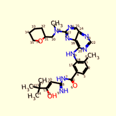 Cc1ccc(C(=O)NC(=N)/C=C(\O)C(C)(C)C)cc1Nc1ncnc2cnc(N(C)CC3CCCCO3)nc12